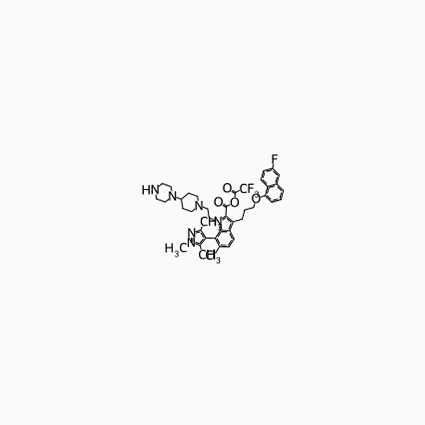 Cc1nn(C)c(C)c1-c1c(Cl)ccc2c(CCCOc3cccc4cc(F)ccc34)c(C(=O)OC(=O)C(F)(F)F)n(CCN3CCC(N4CCNCC4)CC3)c12